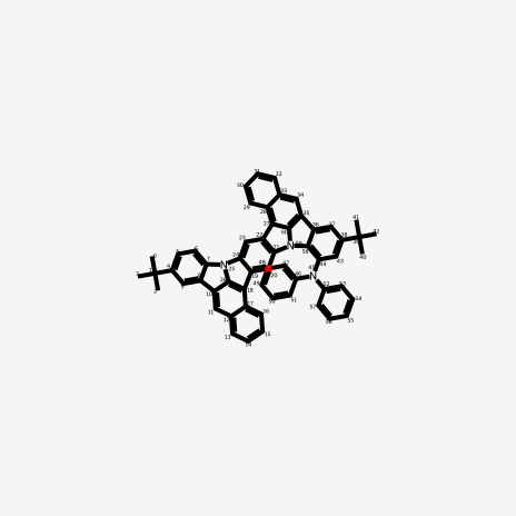 CC(C)(C)c1ccc2c(c1)c1cc3ccccc3c3c4cc5c(cc4n2c13)c1c2ccccc2cc2c3cc(C(C)(C)C)cc(N(c4ccccc4)c4ccccc4)c3n5c21